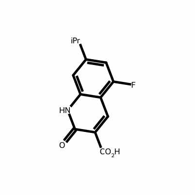 CC(C)c1cc(F)c2cc(C(=O)O)c(=O)[nH]c2c1